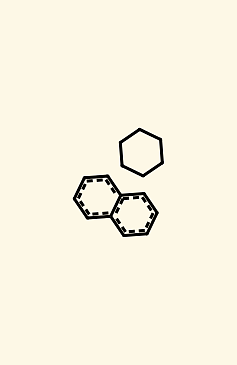 C1CCCCC1.c1ccc2ccccc2c1